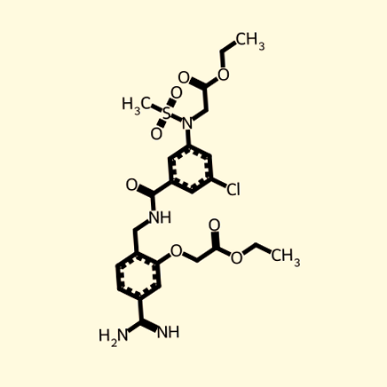 CCOC(=O)COc1cc(C(=N)N)ccc1CNC(=O)c1cc(Cl)cc(N(CC(=O)OCC)S(C)(=O)=O)c1